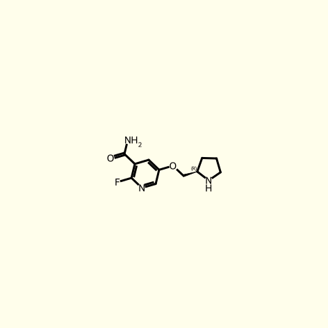 NC(=O)c1cc(OC[C@H]2CCCN2)cnc1F